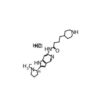 CN1CCC[C@@H]1c1cc2cnc(NC(=O)CCCC3CCNCC3)cc2[nH]1.Cl.Cl